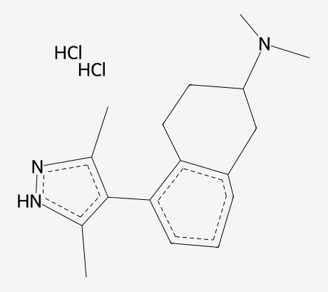 Cc1n[nH]c(C)c1-c1cccc2c1CCC(N(C)C)C2.Cl.Cl